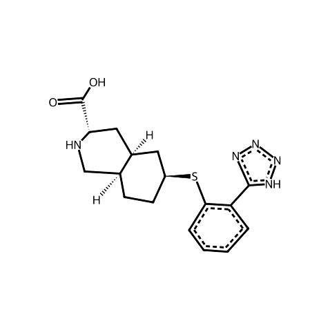 O=C(O)[C@@H]1C[C@H]2C[C@@H](Sc3ccccc3-c3nnn[nH]3)CC[C@H]2CN1